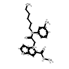 CCCCCCN(C(=O)Cn1c(C(=O)OC)cc2sccc21)c1cccc(C)c1